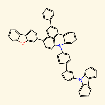 c1ccc(-c2cccc(-c3ccccc3N(c3ccc(-c4cccc(-n5c6ccccc6c6ccccc65)c4)cc3)c3ccc(-c4ccc5c(c4)oc4ccccc45)cc3)c2)cc1